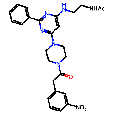 CC(=O)NCCNc1cc(N2CCN(C(=O)Cc3cccc([N+](=O)[O-])c3)CC2)nc(-c2ccccc2)n1